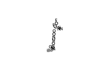 CC[C@@H](C)n1ncn(-c2ccc(N3CCN(c4ccc(OC[C@@H]5CO[C@@](Cn6cncn6)(c6ccc(F)cc6F)C5)cc4)CC3)cc2)c1=O